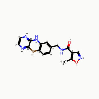 Cc1oncc1C(=O)NCc1ccc2c(c1)Nc1nccnc1S2